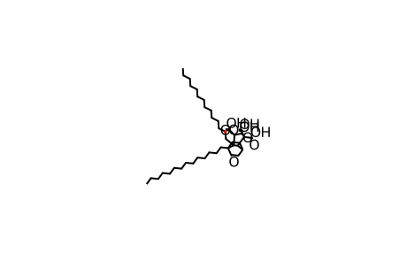 CCCCCCCCCCCCCCC12CCC(C3OC31)C(C(C(=O)O)C(=O)O)C2(CCCCCCCCCCCCCC)C(C(=O)O)C(=O)O